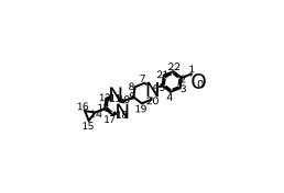 O=Cc1ccc(N2CCC(c3ncc(C4CC4)cn3)CC2)cc1